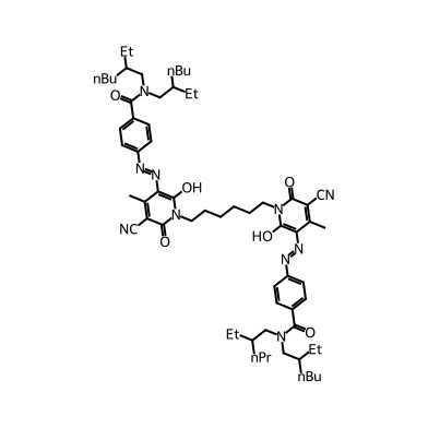 CCCCC(CC)CN(CC(CC)CCC)C(=O)c1ccc(/N=N/c2c(C)c(C#N)c(=O)n(CCCCCCn3c(O)c(/N=N/c4ccc(C(=O)N(CC(CC)CCCC)CC(CC)CCCC)cc4)c(C)c(C#N)c3=O)c2O)cc1